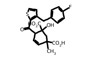 CC1(C(=O)O)C=CC(C(=O)c2sccc2Cc2ccc(F)cc2)C(O)(C(=O)O)C1